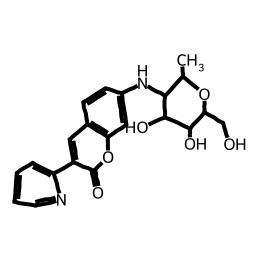 CC1OC(CO)C(O)C(O)C1Nc1ccc2cc(-c3ccccn3)c(=O)oc2c1